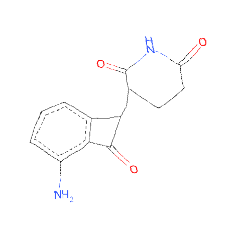 Nc1cccc2c1C(=O)C2C1CCC(=O)NC1=O